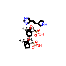 C(=C\[C@H]1CCNC1)/c1cncnc1.CC1(C)C2CC[C@@]1(CS(=O)(=O)O)C(=O)C2.CC1(C)C2CC[C@@]1(CS(=O)(=O)O)C(=O)C2